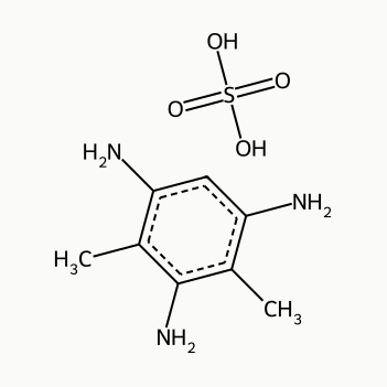 Cc1c(N)cc(N)c(C)c1N.O=S(=O)(O)O